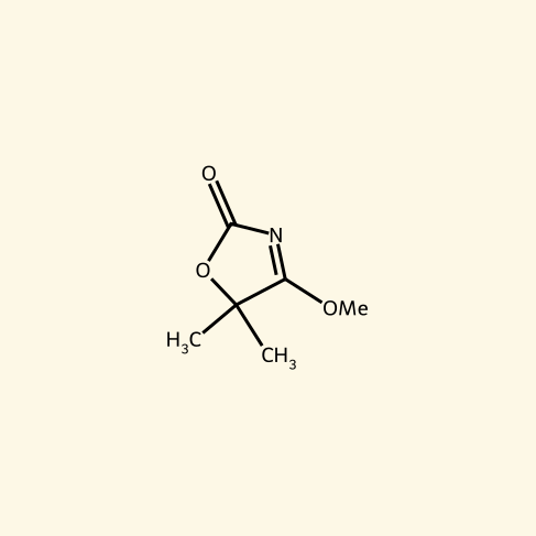 COC1=NC(=O)OC1(C)C